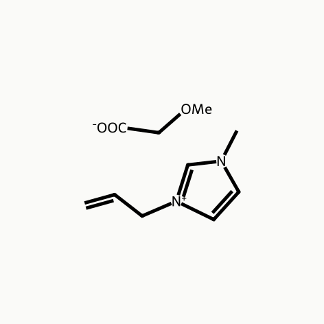 C=CC[n+]1ccn(C)c1.COCC(=O)[O-]